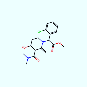 C=C1C(C(=O)N(C)C)C(O)CCN1C(C(=O)OC)c1ccccc1Cl